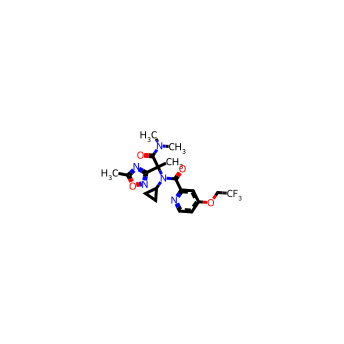 Cc1nc(C(C)(C(=O)N(C)C)N(C(=O)c2cc(OCC(F)(F)F)ccn2)C2CC2)no1